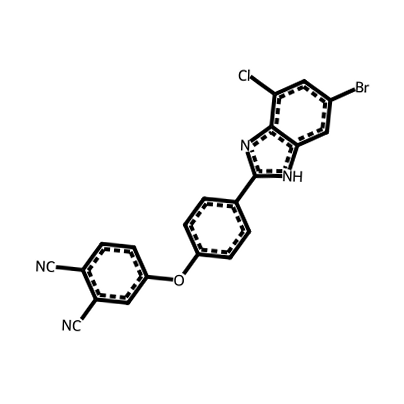 N#Cc1ccc(Oc2ccc(-c3nc4c(Cl)cc(Br)cc4[nH]3)cc2)cc1C#N